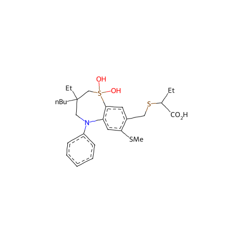 CCCCC1(CC)CN(c2ccccc2)c2cc(SC)c(CSC(CC)C(=O)O)cc2S(O)(O)C1